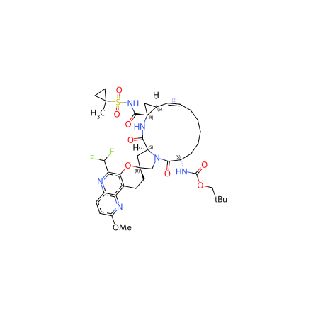 COc1ccc2nc(C(F)F)c3c(c2n1)CC[C@]1(C[C@H]2C(=O)N[C@]4(C(=O)NS(=O)(=O)C5(C)CC5)C[C@H]4/C=C\CCCCC[C@H](NC(=O)OCC(C)(C)C)C(=O)N2C1)O3